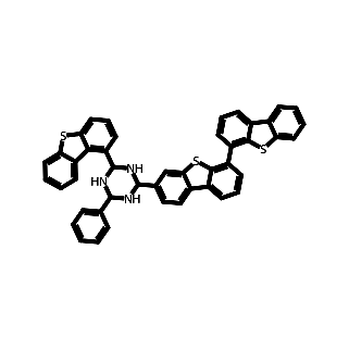 c1ccc(C2NC(c3ccc4c(c3)sc3c(-c5cccc6c5sc5ccccc56)cccc34)NC(c3cccc4sc5ccccc5c34)N2)cc1